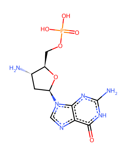 Nc1nc2c(ncn2[C@H]2C[C@H](N)[C@@H](COP(=O)(O)O)O2)c(=O)[nH]1